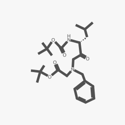 CC(C)C[C@@H](NC(=O)OC(C)(C)C)C(=O)CN(CC(=O)OC(C)(C)C)Cc1ccccc1